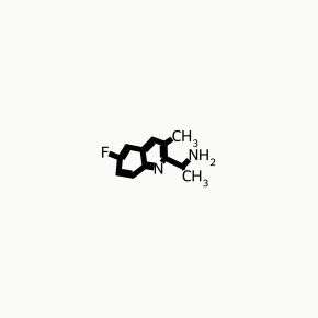 Cc1cc2cc(F)ccc2nc1[C@H](C)N